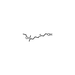 CCO[Si](C)(C)CCCSCCO